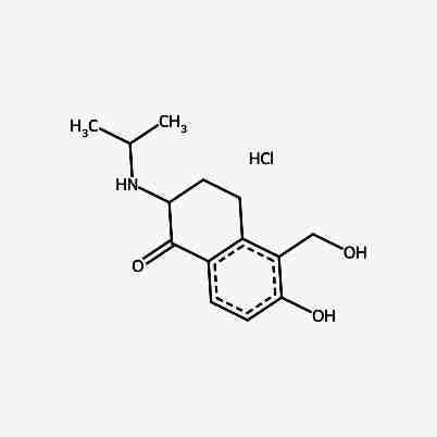 CC(C)NC1CCc2c(ccc(O)c2CO)C1=O.Cl